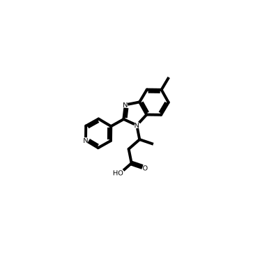 Cc1ccc2c(c1)nc(-c1ccncc1)n2C(C)CC(=O)O